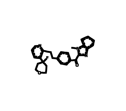 Cn1c(C(=O)c2ccc(CCc3ncccc3C3(F)CCOCC3)cc2)nc2ccccc21